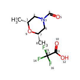 C[C@@H]1CN(C=O)C[C@H](C)O1.O=C(O)C(F)(F)F